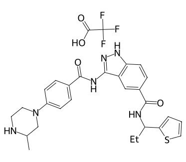 CCC(NC(=O)c1ccc2[nH]nc(NC(=O)c3ccc(N4CCNC(C)C4)cc3)c2c1)c1cccs1.O=C(O)C(F)(F)F